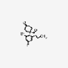 CCCc1cc(F)cc(Br)c1C1(C=O)CCC(=O)CC1